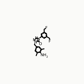 Cc1cc(Cn2nnn(-c3cc(CF)cc(CF)c3)c2=O)cc(C)c1N